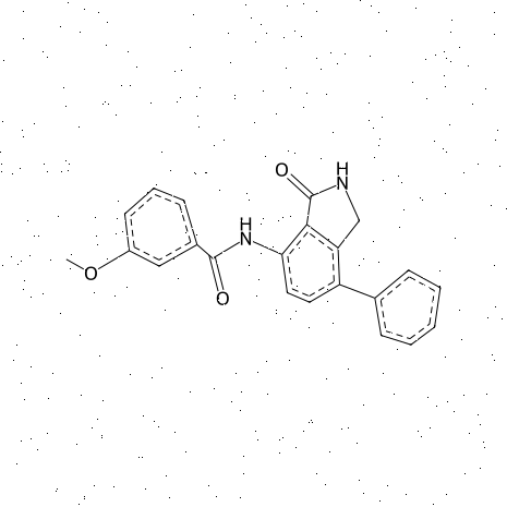 COc1cccc(C(=O)Nc2ccc(-c3ccccc3)c3c2C(=O)NC3)c1